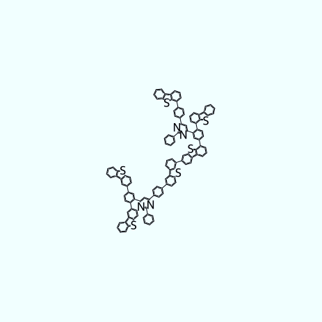 c1ccc(-c2nc(-c3ccc(-c4ccc5sc6c(-c7ccc8c(c7)sc7c(-c9ccc(-c%10cccc%11c%10sc%10ccccc%10%11)c(-c%10cc(-c%11ccc(-c%12cccc%13c%12sc%12ccccc%12%13)cc%11)nc(-c%11ccccc%11)n%10)c9)cccc78)cccc6c5c4)cc3)cc(-c3cc(-c4ccc5sc6ccccc6c5c4)ccc3-c3ccc4sc5ccccc5c4c3)n2)cc1